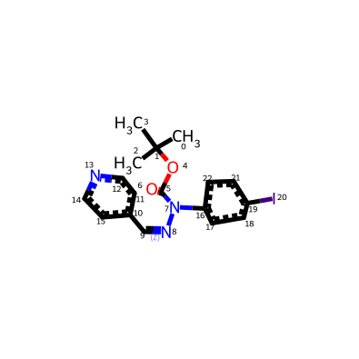 CC(C)(C)OC(=O)N(/N=C\c1ccncc1)c1ccc(I)cc1